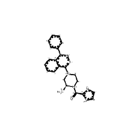 C[C@H]1CN(c2nnc(-c3ccccc3)c3ccccc23)CCN1C(=O)c1nccs1